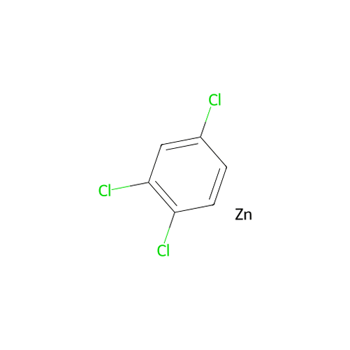 Clc1ccc(Cl)c(Cl)c1.[Zn]